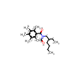 CCCCC(CC)CN(C=O)C(=O)c1c(C)c(C)c(C)c(C)c1C